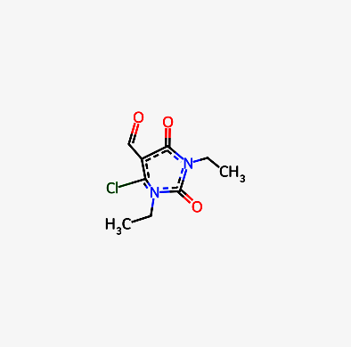 CCn1c(Cl)c(C=O)c(=O)n(CC)c1=O